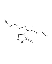 O=C1CCCO1.OCCOCCOCCO